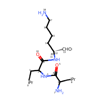 CC(C)CC(NC(=O)C(N)C(C)C)C(=O)N[C@@H]([C]=O)CCCCN